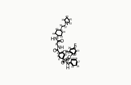 O=C(CNC(=O)c1ccc(S(=O)(=O)Nc2ccccc2Oc2ccc(F)cc2Cl)cc1)N[C@H]1CC[C@H](CCN2CCCC2)CC1